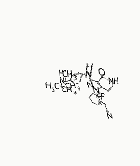 CC(C)NC(C)(C)c1ccc(Nc2nn([C@@]3(F)CCCC[C@@H]3CC#N)c3cc[nH]c(=O)c23)cc1